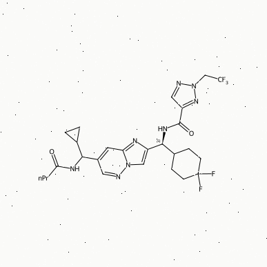 CCCC(=O)NC(c1cnn2cc([C@@H](NC(=O)c3cnn(CC(F)(F)F)n3)C3CCC(F)(F)CC3)nc2c1)C1CC1